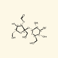 O=CO[C@H]1[C@H](O)[C@@H](CO)O[C@@]1(CO)O[C@H]1O[C@H](CO)[C@@H](O)[C@H](O)[C@H]1O